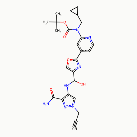 C#CCn1cc(NC(O)c2coc(-c3ccnc(N(CC4CC4)C(=O)OC(C)(C)C)c3)n2)c(C(N)=O)n1